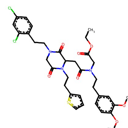 CCOC(=O)CN(CCc1ccc(OC)c(OC)c1)C(=O)CC1C(=O)N(CCc2ccc(Cl)cc2Cl)CC(=O)N1CCc1cccs1